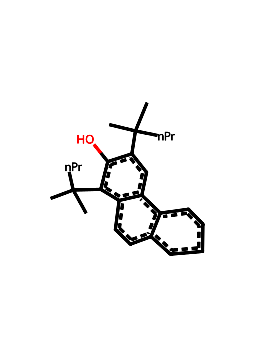 CCCC(C)(C)c1cc2c(ccc3ccccc32)c(C(C)(C)CCC)c1O